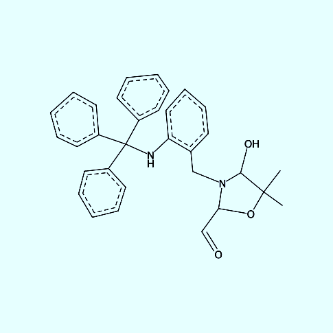 CC1(C)OC(C=O)N(Cc2ccccc2NC(c2ccccc2)(c2ccccc2)c2ccccc2)C1O